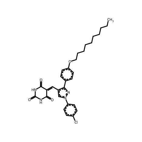 CCCCCCCCCCOc1ccc(-c2nn(-c3ccc(Cl)cc3)cc2C=C2C(=O)NC(=O)NC2=O)cc1